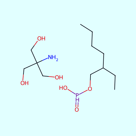 CCCCC(CC)CO[PH](=O)O.NC(CO)(CO)CO